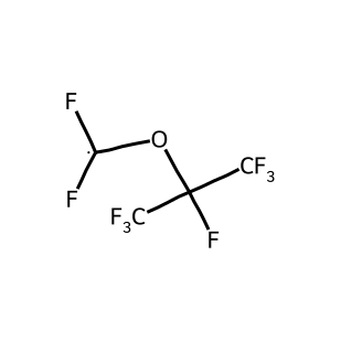 F[C](F)OC(F)(C(F)(F)F)C(F)(F)F